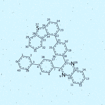 c1ccc(-c2ccc(-c3nc4ccccc4nc3-c3ccc(-c4cccc5sc6ccccc6c45)cc3)cc2)cc1